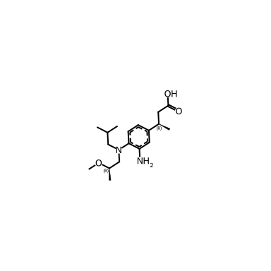 CO[C@H](C)CN(CC(C)C)c1ccc([C@H](C)CC(=O)O)cc1N